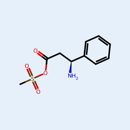 CS(=O)(=O)OC(=O)C[C@H](N)c1ccccc1